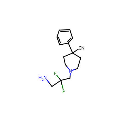 N#CC1(c2ccccc2)CCN(CC(F)(F)CN)CC1